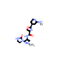 CCNc1cc(-c2nc(C(=O)Nc3cn(C)nc3N3CCNC3=O)co2)ccn1